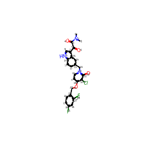 CN(C)C(=O)C(=O)c1c[nH]c2ccc(Cn3ccc(OCc4ccc(F)cc4F)c(Cl)c3=O)cc12